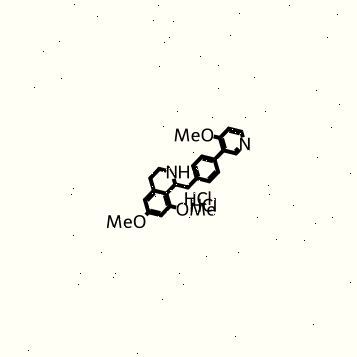 COc1cc2c(c(OC)c1)C(Cc1ccc(-c3cnccc3OC)cc1)NCC2.Cl.Cl